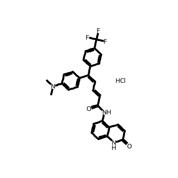 CN(C)c1ccc(C(=CC=CC(=O)Nc2cccc3[nH]c(=O)ccc23)c2ccc(C(F)(F)F)cc2)cc1.Cl